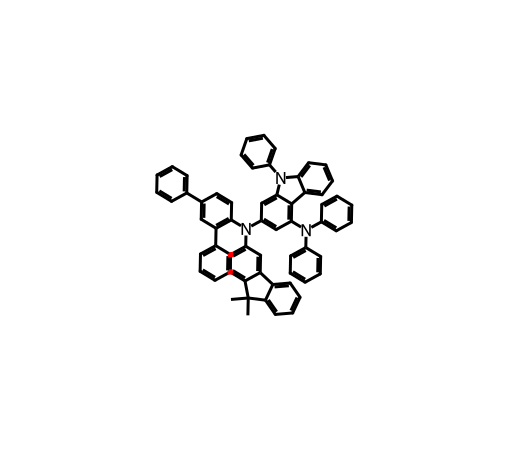 CC1(C)c2ccccc2-c2cc(N(c3cc(N(c4ccccc4)c4ccccc4)c4c5ccccc5n(-c5ccccc5)c4c3)c3ccc(-c4ccccc4)cc3-c3ccccc3)ccc21